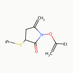 C=C(CC)ON1C(=C)CC(SC(C)C)C1=O